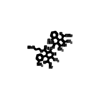 COC(=O)C1=C(C)NC(C)=C(C(=O)OCC(C)C)C1c1ccccc1[N+](=O)[O-].COCCOC(=O)C1=C(C)NC(C)=C(C(=O)OC(C)C)C1c1cccc([N+](=O)[O-])c1